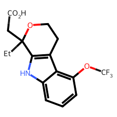 CCC1(CC(=O)O)OCCc2c1[nH]c1cccc(OC(F)(F)F)c21